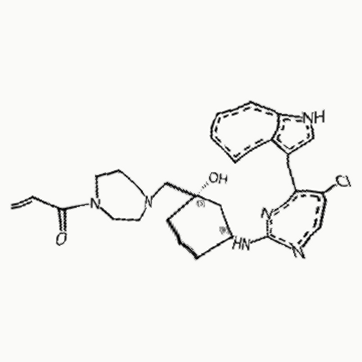 C=CC(=O)N1CCN(C[C@]2(O)CCC[C@@H](Nc3ncc(Cl)c(-c4c[nH]c5ccccc45)n3)C2)CC1